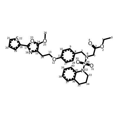 CCOC(=O)CN(Cc1ccc(OCCc2nc(-c3cccs3)oc2OC)cc1)S(=O)(=O)N1CCCc2ccccc21